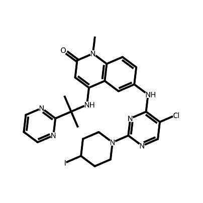 Cn1c(=O)cc(NC(C)(C)c2ncccn2)c2cc(Nc3nc(N4CCC(I)CC4)ncc3Cl)ccc21